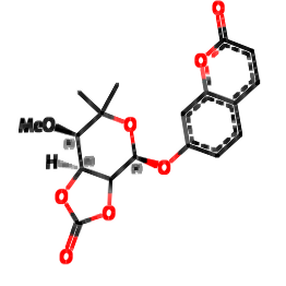 CO[C@@H]1[C@@H]2OC(=O)OC2[C@H](Oc2ccc3ccc(=O)oc3c2)OC1(C)C